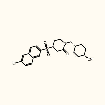 N#C[C@H]1CC[C@H](CN2CCN(S(=O)(=O)c3ccc4cc(Cl)ccc4c3)CC2=O)CC1